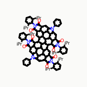 CC(C)c1cccc(C(C)C)c1-n1c(=O)c2cc3c4c5c(=O)n(-c6c(C(C)C)cccc6C(C)C)c(=O)c6cc7c8c(c65)c5c6c(cc9c(=O)n(-c%10c(C(C)C)cccc%10C(C)C)c(=O)c%10cc(c8c6c9%10)n7-c6ccccc6)c6c7c(=O)n(-c8c(C(C)C)cccc8C(C)C)c(=O)c8cc9c%10c(c87)c(c3c3c2c(cc(c3%10)n9-c2ccccc2)c1=O)c6c45